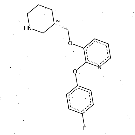 Fc1ccc(Oc2ncccc2OC[C@H]2CCCNC2)cc1